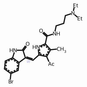 CCN(CC)CCCNC(=O)c1[nH]c(/C=C2\C(=O)Nc3ccc(Br)cc32)c(C(C)=O)c1C